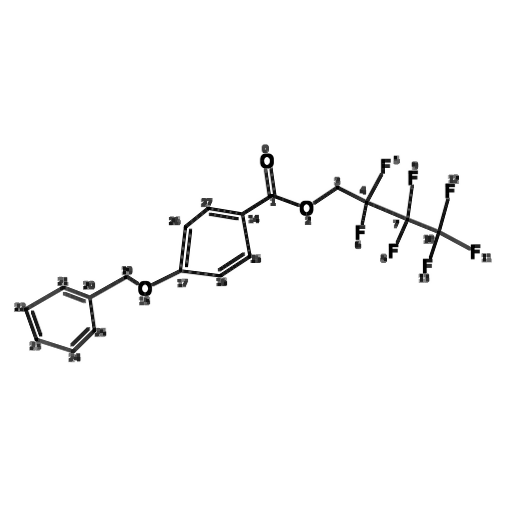 O=C(OCC(F)(F)C(F)(F)C(F)(F)F)c1ccc(OCc2ccccc2)cc1